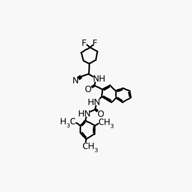 Cc1cc(C)c(NC(=O)Nc2cc3ccccc3cc2C(=O)NC(C#N)C2CCC(F)(F)CC2)c(C)c1